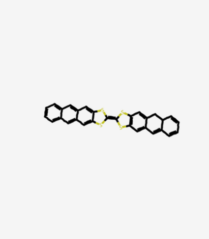 C1=CC2=Cc3cc4c(cc3CC2C=C1)SC(=C1Sc2cc3cc5ccccc5cc3cc2S1)S4